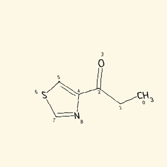 CCC(=O)c1cscn1